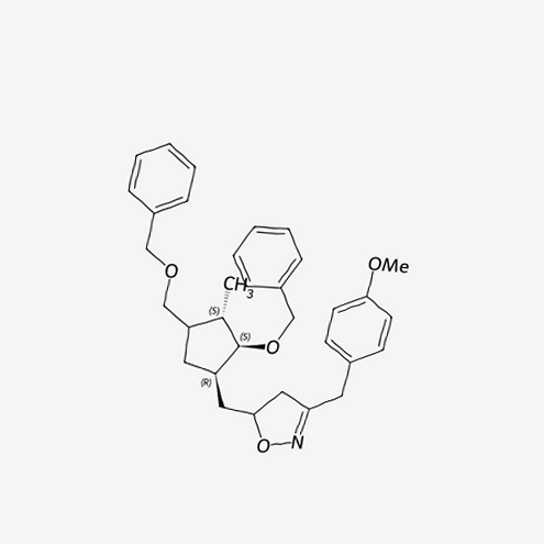 COc1ccc(CC2=NOC(C[C@H]3CC(COCc4ccccc4)[C@H](C)[C@H]3OCc3ccccc3)C2)cc1